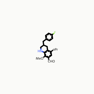 CCCc1cc(C=O)c(OC)c2c1CC(Cc1ccc(F)cc1)CN2